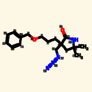 CC1(C)CC(CCCOCc2ccccc2)(CN=[N+]=[N-])C(=O)N1